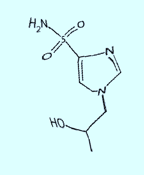 CC(O)Cn1cnc(S(N)(=O)=O)c1